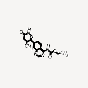 CCOC(=O)Nc1ncnc2cc(C3=NNC(=O)CC3C)ccc12